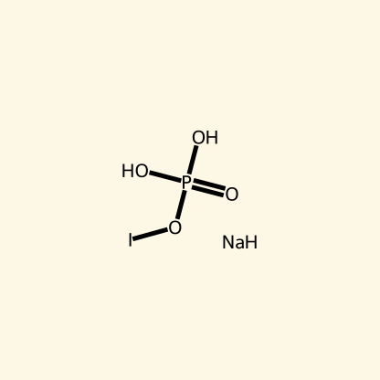 O=P(O)(O)OI.[NaH]